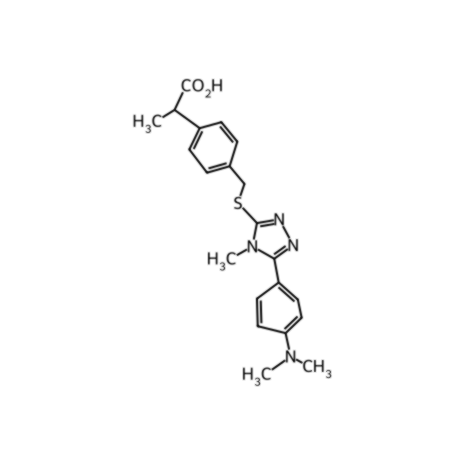 CC(C(=O)O)c1ccc(CSc2nnc(-c3ccc(N(C)C)cc3)n2C)cc1